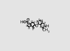 C[C@@H]1Cc2c(ncnc2Oc2ccc3c(ccn3C(=O)O)c2F)CN1